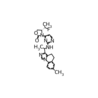 Cc1ccc2c(c1)CCc1c(C(C)Nc3nccc(N4C(=O)OC[C@@H]4C(C)F)n3)ncn1-2